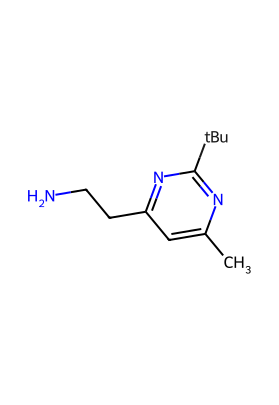 Cc1cc(CCN)nc(C(C)(C)C)n1